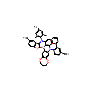 Cc1cc(C(C)(C)C)cc(C)c1N1c2cccc3c2B(c2cc4c(cc2N3c2ccc(C(C)(C)C)cc2-c2ccccc2)OCCCO4)c2oc3ccc(C(C)(C)C)cc3c21